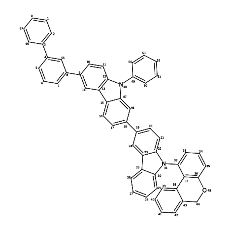 c1ccc(-c2cccc(-c3ccc4c(c3)c3ccc(-c5ccc6c(c5)c5ccccc5n6-c5cccc6c5-c5ccccc5CO6)cc3n4-c3ccccc3)c2)cc1